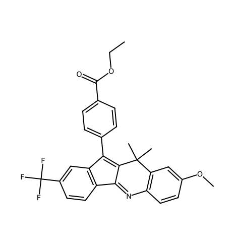 CCOC(=O)c1ccc(C2=C3C(=Nc4ccc(OC)cc4C3(C)C)c3ccc(C(F)(F)F)cc32)cc1